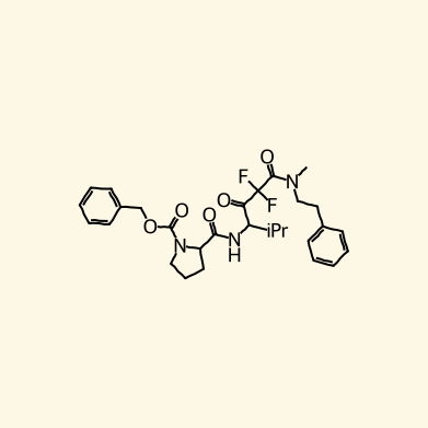 CC(C)C(NC(=O)C1CCCN1C(=O)OCc1ccccc1)C(=O)C(F)(F)C(=O)N(C)CCc1ccccc1